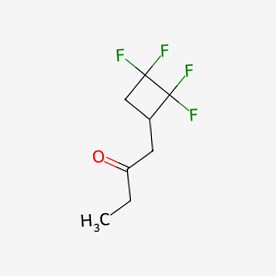 CCC(=O)CC1CC(F)(F)C1(F)F